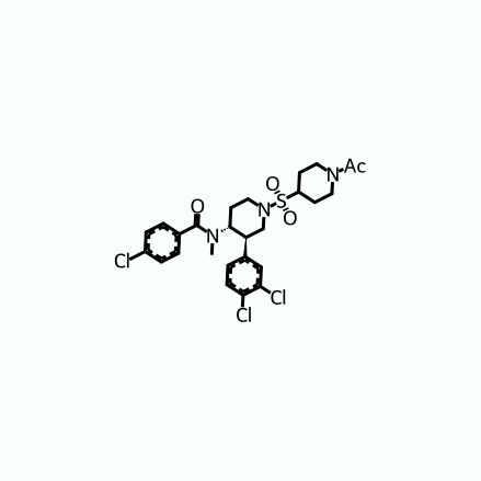 CC(=O)N1CCC(S(=O)(=O)N2CC[C@@H](N(C)C(=O)c3ccc(Cl)cc3)[C@H](c3ccc(Cl)c(Cl)c3)C2)CC1